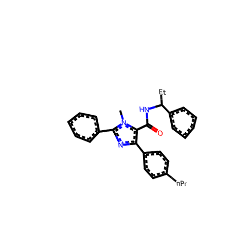 CCCc1ccc(-c2nc(-c3ccccc3)n(C)c2C(=O)NC(CC)c2ccccc2)cc1